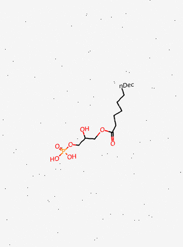 CCCCCCCCCCCCCCCC(=O)OCC(O)COP(=O)(O)O